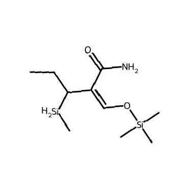 CCC([SiH2]C)C(=CO[Si](C)(C)C)C(N)=O